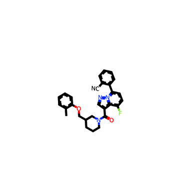 Cc1ccccc1OCC1CCCN(C(=O)c2cnn3c(-c4ccccc4C#N)ccc(F)c23)C1